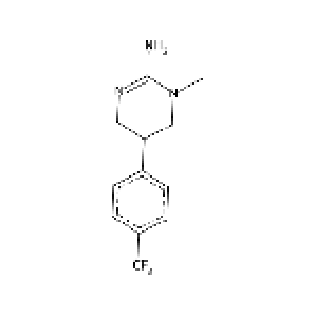 CN1CC(c2ccc(C(F)(F)F)cc2)CN=C1N